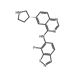 Fc1c(Nc2ncnc3ccc([C@@H]4CCNC4)cc23)ccc2cnsc12